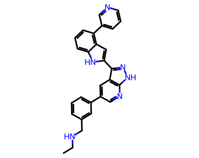 CCNCc1cccc(-c2cnc3[nH]nc(-c4cc5c(-c6cccnc6)cccc5[nH]4)c3c2)c1